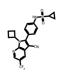 N#Cc1c(-c2ccc(NS(=O)(=O)C3CC3)cc2)n(C2CCC2)c2ncc(C(F)(F)F)cc12